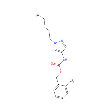 CC(=O)CCCCn1cc(NC(=O)OCc2ccccc2C(F)(F)F)cn1